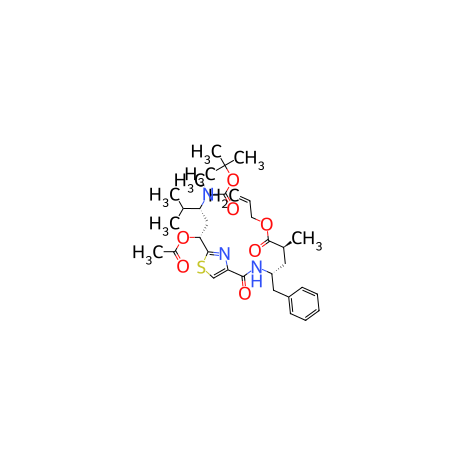 C=CCOC(=O)[C@@H](C)C[C@H](Cc1ccccc1)NC(=O)c1csc([C@@H](C[C@H](C(C)C)N(C)C(=O)OC(C)(C)C)OC(C)=O)n1